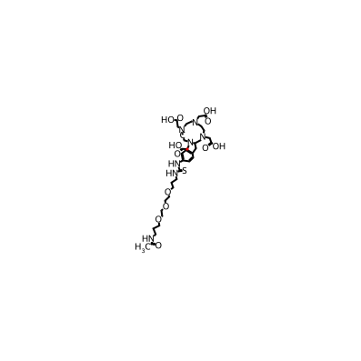 CC(=O)NCCCOCCOCCOCCCNC(=S)Nc1ccc(CC2CN(CC(=O)O)CCN(CC(=O)O)CCN(CC(=O)O)CCN2CC(=O)O)cc1